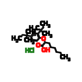 CCCCCCC(Oc1ccc(C(C)(C)CC)cc1C(C)(C)CC)C(=O)O.Cl